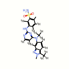 [2H]c1nc(Nc2c([2H])c([2H])c(C)c(S(N)(=O)=O)c2[2H])nc(N(c2c([2H])c([2H])c3c(C([2H])([2H])[2H])n(C)nc3c2[2H])C([2H])([2H])[2H])c1[2H]